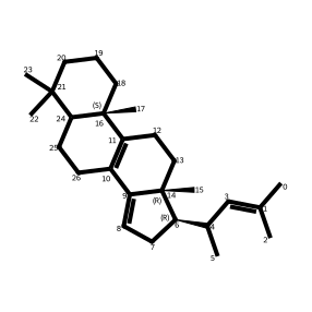 CC(C)=CC(C)[C@H]1CC=C2C3=C(CC[C@@]21C)[C@@]1(C)CCCC(C)(C)C1CC3